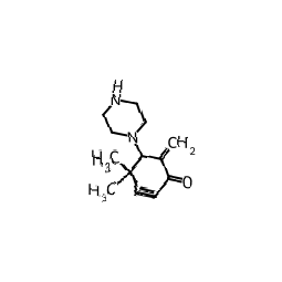 C=C1C(=O)C=CC(C)(C)C1N1CCNCC1